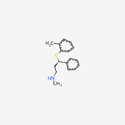 CNCC[C@@H](Sc1ccccc1C)c1ccccc1